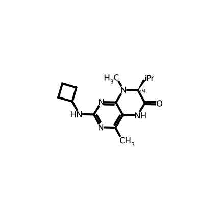 Cc1nc(NC2CCC2)nc2c1NC(=O)[C@H](C(C)C)N2C